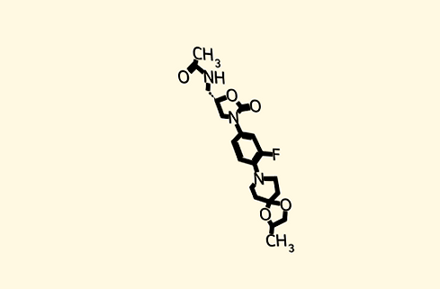 CC(=O)NC[C@H]1CN(c2ccc(N3CCC4(CC3)OCC(C)O4)c(F)c2)C(=O)O1